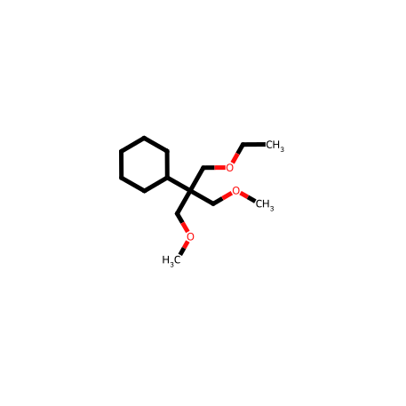 CCOCC(COC)(COC)C1CCCCC1